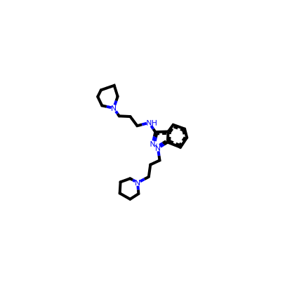 c1ccc2c(c1)c(NCCCN1CCCCC1)nn2CCCN1CCCCC1